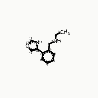 CCNCc1ccccc1-c1cocn1